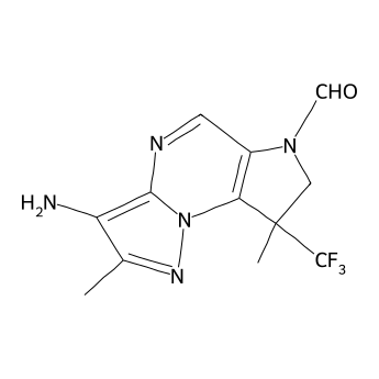 Cc1nn2c3c(cnc2c1N)N(C=O)CC3(C)C(F)(F)F